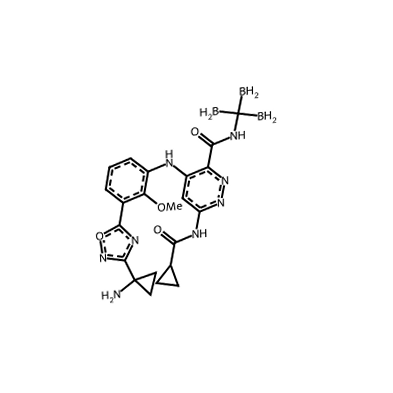 BC(B)(B)NC(=O)c1nnc(NC(=O)C2CC2)cc1Nc1cccc(-c2nc(C3(N)CC3)no2)c1OC